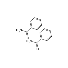 NC(=O)c1ccccc1.NC(=O)c1ccccc1